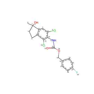 CC1(O)CCc2c1cc(Cl)c(NC(=O)OCc1ccc(F)cc1)c2Cl